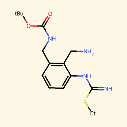 CCSC(=N)Nc1cccc(CNC(=O)OC(C)(C)C)c1CN